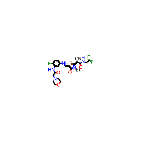 CCn1c(=C(C#N)C(=O)NCC(F)F)sc(=CNc2ccc(F)c(NC(=O)CN3CCOCC3)c2)c1=O